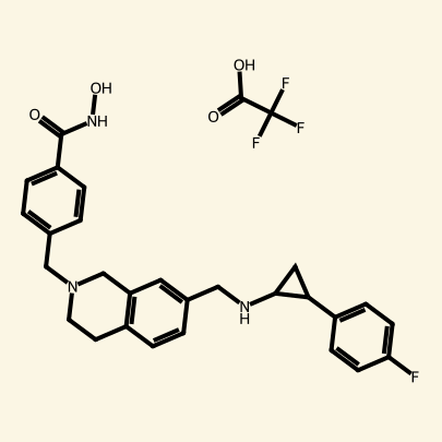 O=C(NO)c1ccc(CN2CCc3ccc(CNC4CC4c4ccc(F)cc4)cc3C2)cc1.O=C(O)C(F)(F)F